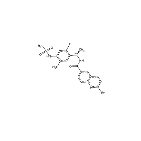 Cc1cc([C@@H](C)NC(=O)c2ccc3nc(C(C)C)ccc3c2)c(F)cc1NS(C)(=O)=O